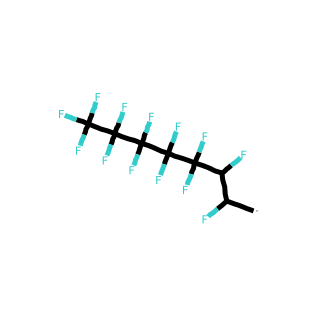 [CH2]C(F)C(F)C(F)(F)C(F)(F)C(F)(F)C(F)(F)C(F)(F)F